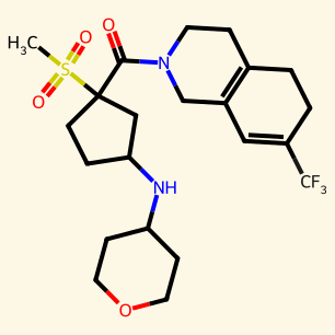 CS(=O)(=O)C1(C(=O)N2CCC3=C(C=C(C(F)(F)F)CC3)C2)CCC(NC2CCOCC2)C1